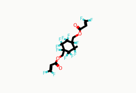 CC1(F)C(F)(F)C(F)(COC(=O)C=C(F)F)C(F)(F)C(F)(F)C1(F)COC(=O)C=C(F)F